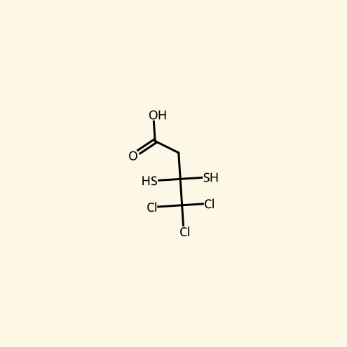 O=C(O)CC(S)(S)C(Cl)(Cl)Cl